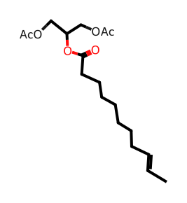 CC=CCCCCCCCC(=O)OC(COC(C)=O)COC(C)=O